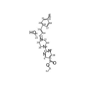 CCOC(=O)c1cnc(N2CCN([C@@H](/C=C/c3ccc(F)cc3)CO)CC2)nc1